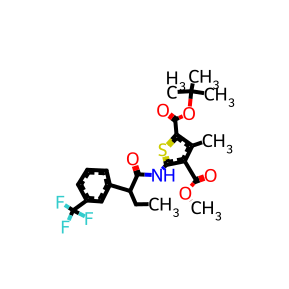 CCC(C(=O)Nc1sc(C(=O)OC(C)(C)C)c(C)c1C(=O)OC)c1cccc(C(F)(F)F)c1